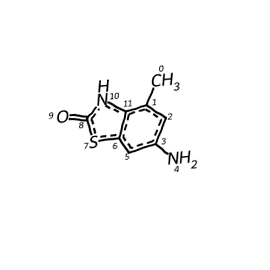 Cc1cc(N)cc2sc(=O)[nH]c12